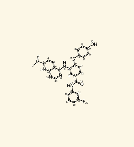 CC(C)c1ccc2c(Nc3cc(C(=O)Nc4cccc(F)c4)ccc3Sc3ccc(O)cc3)ncnc2n1